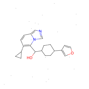 OC(c1c(C2CC2)ccc2cncn12)C1CCC(c2ccoc2)CC1